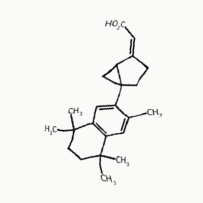 Cc1cc2c(cc1C13CC/C(=C/C(=O)O)C1C3)C(C)(C)CCC2(C)C